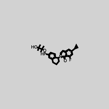 CC(C)(O)C(C)(C)OPc1ccc2c(c1)CCCC2n1ccc2cc(C3CC3)cc(F)c2c1=O